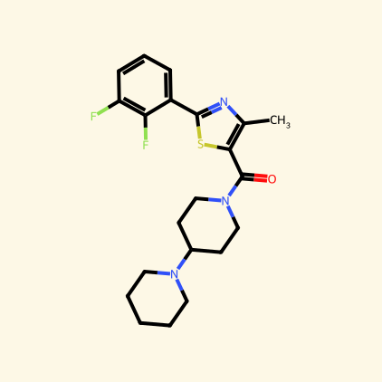 Cc1nc(-c2cccc(F)c2F)sc1C(=O)N1CCC(N2CCCCC2)CC1